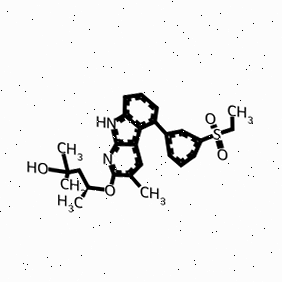 CCS(=O)(=O)c1cccc(-c2cccc3[nH]c4nc(O[C@@H](C)CC(C)(C)O)c(C)cc4c23)c1